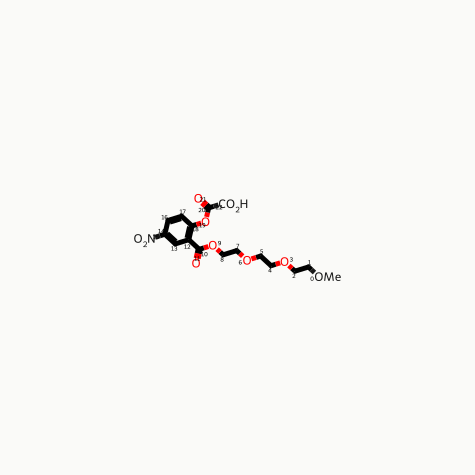 COCCOCCOCCOC(=O)c1cc([N+](=O)[O-])ccc1OC(=O)C(=O)O